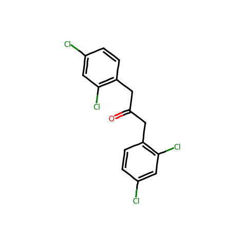 O=C(Cc1ccc(Cl)cc1Cl)Cc1ccc(Cl)cc1Cl